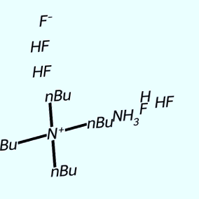 CCCC[N+](CCCC)(CCCC)CCCC.F.F.F.F.N.[F-]